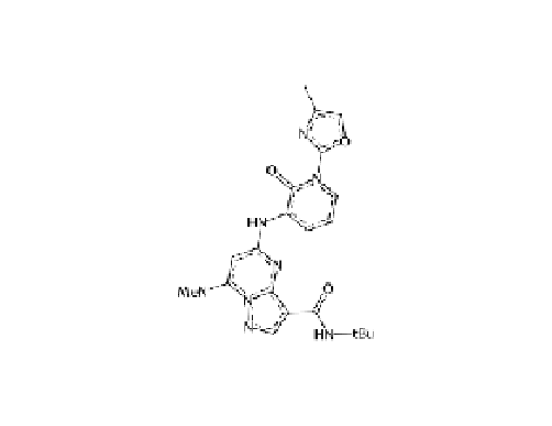 CNc1cc(Nc2cccn(-c3nc(C)co3)c2=O)nc2c(C(=O)NC(C)(C)C)cnn12